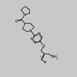 NC/C(=C\F)COc1cnc(N2CCC(C(=O)N3CCCC3)CC2)nc1